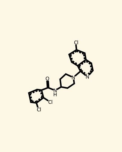 O=C(NC1CCN(c2nccc3cc(Cl)ccc23)CC1)c1cccc(Cl)c1Cl